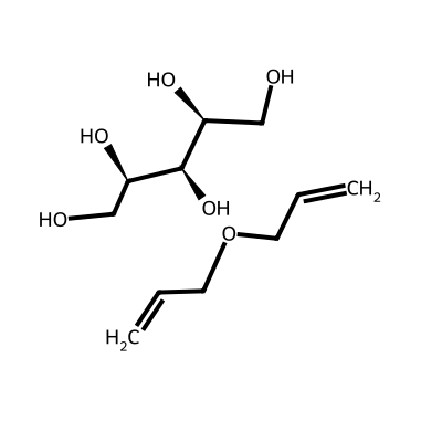 C=CCOCC=C.OC[C@@H](O)[C@H](O)[C@@H](O)CO